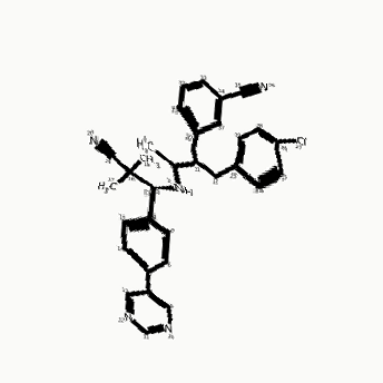 CC(N[C@@H](c1ccc(-c2cncnc2)cc1)C(C)(C)C#N)C(Cc1ccc(Cl)cc1)c1cccc(C#N)c1